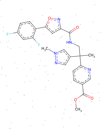 COC(=O)c1ccc(C(C)(CNC(=O)c2cc(-c3ccc(F)cc3F)on2)c2cnn(C)c2)nc1